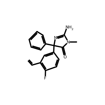 C=Cc1cc(C2(c3ccccc3)N=C(N)N(C)C2=O)ccc1F